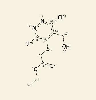 CCOC(=O)CSc1c(Cl)nnc(Cl)c1CO